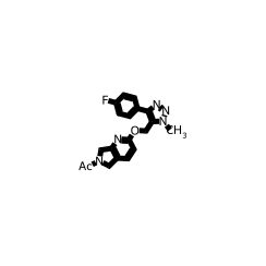 CC(=O)N1Cc2ccc(OCc3c(-c4ccc(F)cc4)nnn3C)nc2C1